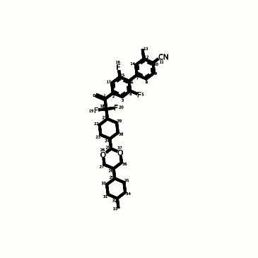 C=C(c1cc(F)c(-c2ccc(C#N)c(C)c2)c(F)c1)C(F)(F)C1CCC(C2OCC(C3CCC(C)CC3)CO2)CC1